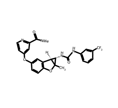 CNC(=O)c1cc(Oc2ccc3c(c2)[C@H]2[C@H](NC(=O)Nc4cccc(C(F)(F)F)c4)C2(C)O3)ccn1